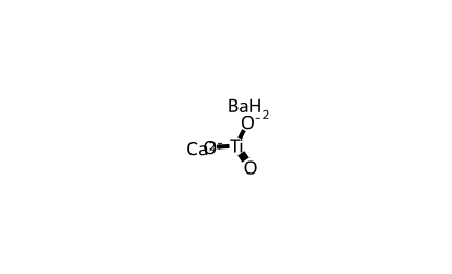 [BaH2].[Ca+2].[O]=[Ti]([O-])[O-]